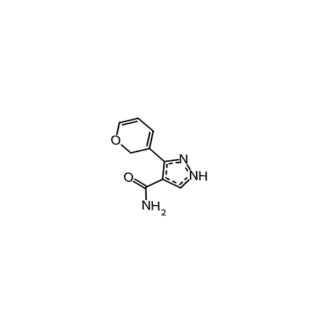 NC(=O)c1c[nH]nc1C1=CC=COC1